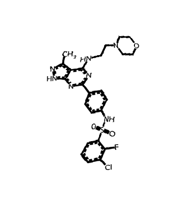 Cc1n[nH]c2nc(-c3ccc(NS(=O)(=O)c4cccc(Cl)c4F)cc3)nc(NCCN3CCOCC3)c12